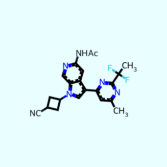 CC(=O)Nc1cc2c(-c3cc(C)nc(C(C)(F)F)n3)cn(C3CC(C#N)C3)c2cn1